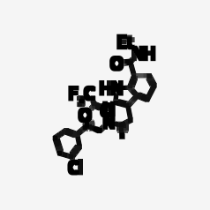 CCNC(=O)c1cccc2c(C[C@@H](C)NC[C@H](OC(=O)C(F)(F)F)c3cccc(Cl)c3)c[nH]c12